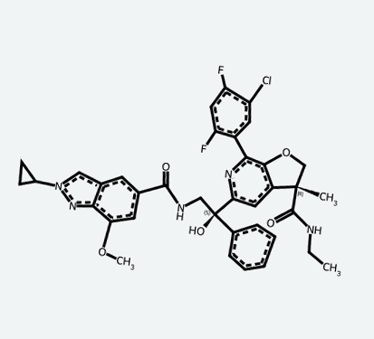 CCNC(=O)[C@@]1(C)COc2c1cc([C@@](O)(CNC(=O)c1cc(OC)c3nn(C4CC4)cc3c1)c1ccccc1)nc2-c1cc(Cl)c(F)cc1F